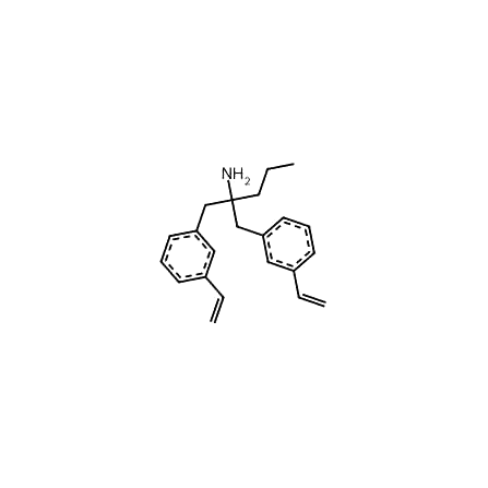 C=Cc1cccc(CC(N)(CCC)Cc2cccc(C=C)c2)c1